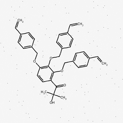 C=Cc1ccc(COc2ccc(C(=O)C(C)(C)O)c(OCc3ccc(C=C)cc3)c2OCc2ccc(C=C)cc2)cc1